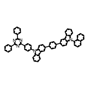 c1ccc(-c2nc(-c3ccccc3)nc(-c3ccc(-n4c5ccccc5c5cc(-c6ccc(-c7ccc8c(c7)c7ccccc7n8-c7cccc8ccccc78)cc6)ccc54)cc3)n2)cc1